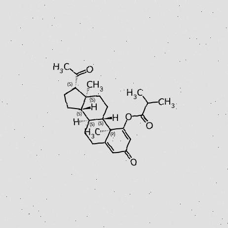 CC(=O)[C@H]1CC[C@H]2[C@@H]3CCC4=CC(=O)C=C(OC(=O)C(C)C)[C@]4(C)[C@H]3CC[C@]12C